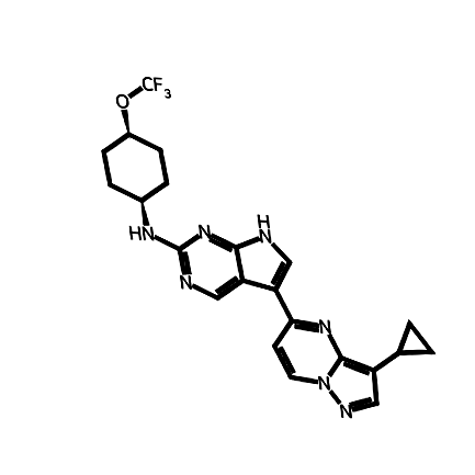 FC(F)(F)O[C@H]1CC[C@@H](Nc2ncc3c(-c4ccn5ncc(C6CC6)c5n4)c[nH]c3n2)CC1